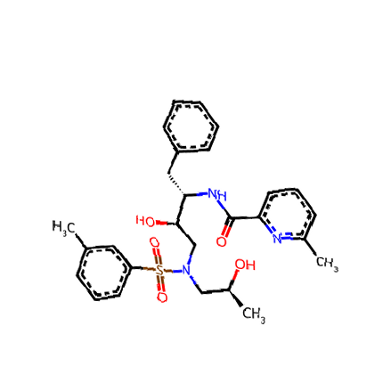 Cc1cccc(S(=O)(=O)N(C[C@H](C)O)C[C@@H](O)[C@H](Cc2ccccc2)NC(=O)c2cccc(C)n2)c1